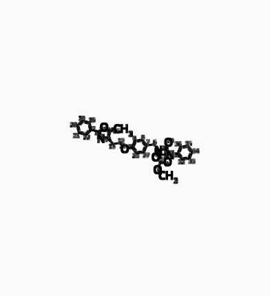 COC(=O)ON(Cc1ccc(OCCc2nc(-c3ccccc3)oc2C)cc1)C(=O)Nc1ccccc1